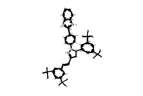 CC(C)(C)c1cc(C=CC2=NN(c3ccc(-c4nc5ccccc5o4)cc3)C(c3cc(C(C)(C)C)cc(C(C)(C)C)c3)C2)cc(C(C)(C)C)c1